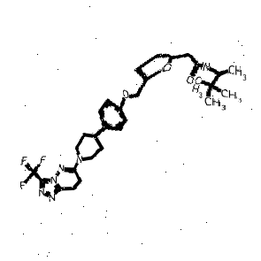 CC(NC(=O)CC1CCC(COc2ccc(C3CCN(C4=Nn5c(nnc5C(F)(F)F)CC4)CC3)cc2)O1)C(C)(C)C